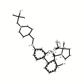 CC(C)(F)CN1CCC(COc2ccc(-c3cccc(F)c3C(=O)N3CCC[C@@]3(C)C(N)=O)c(C#N)c2)CC1